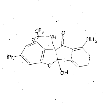 CC(C)c1ccc2c(c1)OC1(O)C3=CCCC(N)=C3C(=O)C21NC(=O)C(F)(F)F